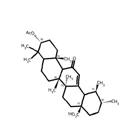 CC(=O)O[C@@H]1CC[C@@]2(C)C(CC[C@]3(C)C2C(=O)C=C2C4[C@@H](C)[C@H](C)CC[C@]4(C(=O)O)CC[C@]23C)C1(C)C